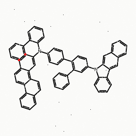 c1ccc(-c2cc(-n3c4ccccc4c4cc5ccccc5cc43)ccc2-c2ccc(N(c3ccc4ccc5c6ccccc6ccc5c4c3)c3ccccc3-c3ccccc3)cc2)cc1